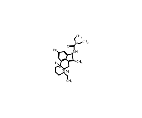 CCN(CC)C(=O)Nn1c(C)c2c3c(cc(Br)cc31)[C@H]1CCCN(CC)[C@@H]1C2